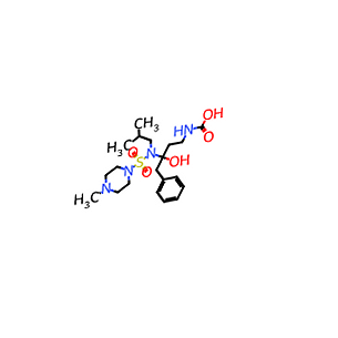 CC(C)CN(C(O)(CCNC(=O)O)Cc1ccccc1)S(=O)(=O)N1CCN(C)CC1